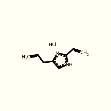 C=CCc1c[nH]c(C=C)n1.Cl